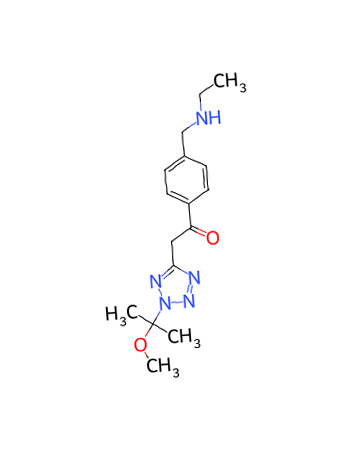 CCNCc1ccc(C(=O)Cc2nnn(C(C)(C)OC)n2)cc1